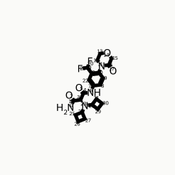 NC(=O)[C@@H](C(=O)Nc1ccc(N2CCOCC2=O)c(C(F)F)c1)N(C1CCC1)C1CCC1